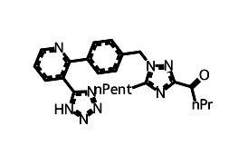 CCCCCc1nc(C(=O)CCC)nn1Cc1ccc(-c2ncccc2-c2nnn[nH]2)cc1